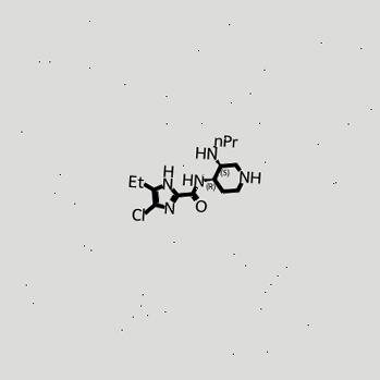 CCCN[C@H]1CNCC[C@H]1NC(=O)c1nc(Cl)c(CC)[nH]1